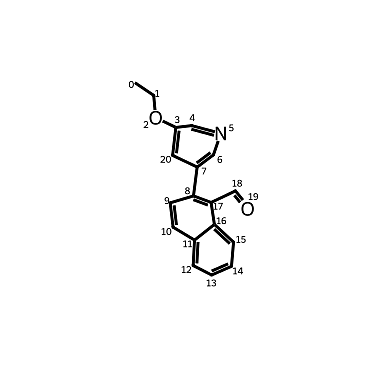 CCOc1cncc(-c2ccc3ccccc3c2C=O)c1